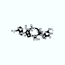 Nc1nc2c(nnn2[C@@H]2O[C@@H]3CO[PH](=O)O[C@H]4[C@@H](O)[C@H](n5cnc6c(N)ncnc65)[C@H]5CCC54COP(=O)(O)O[C@@H]2[C@@H]3O)c(=O)[nH]1